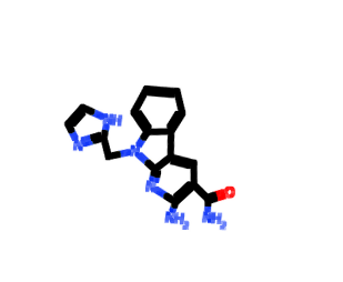 NC(=O)c1cc2c3ccccc3n(Cc3ncc[nH]3)c2nc1N